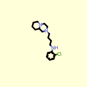 Clc1ccccc1NCCCCN1CCN2CCCCC2C1